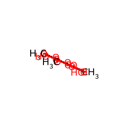 COCC(O)CCCCCCCCC(=O)OCCCOC(=O)CCCCCCCCC(COC(=O)CCCCCCCCC(O)COC)OC